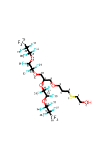 OCCSCCCOCC(COC(F)(F)C(F)OC(F)(F)C(F)(F)C(F)(F)F)OC(F)(F)C(F)OC(F)(F)C(F)(F)C(F)(F)F